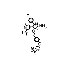 Cc1cc(-c2c(OCCc3ccc(OC4CCN(S(C)(=O)=O)C4)cc3)nc(N)nc2-c2ccc(F)cc2)cc(C(F)F)n1